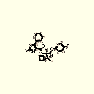 Cc1nc(C(=O)N2C3CC(C3)[C@H](C)[C@H]2COc2ccc(F)cn2)c(-c2ccccn2)s1